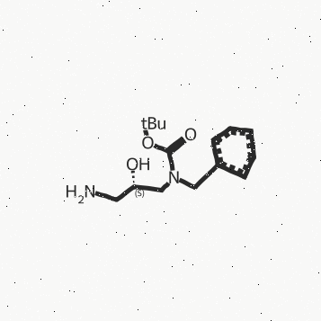 CC(C)(C)OC(=O)N(Cc1ccccc1)C[C@@H](O)CN